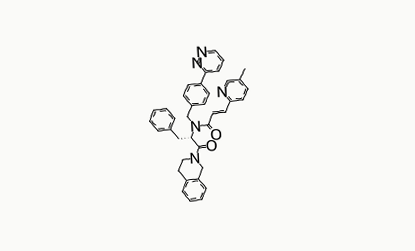 Cc1ccc(C=CC(=O)N(Cc2ccc(-c3cccnn3)cc2)[C@@H](Cc2ccccc2)C(=O)N2CCc3ccccc3C2)nc1